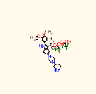 COc1ccc(-c2[nH]c3ccc(N4CCN(C5CCCNCC5)CC4)cc3c2C(C)C)cc1OC.O=C(O)C(F)(F)F.O=C(O)C(F)(F)F